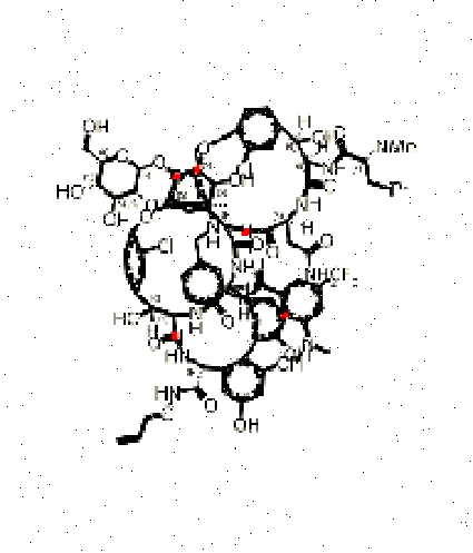 C=CCONC(=O)[C@@H]1NC(=O)[C@H]2NC(=O)[C@H](NC(=O)[C@@H]3NC(=O)[C@H](CC(N)=O)NC(=O)[C@H](NC(=O)[C@@H](CC(C)C)NC)[C@H](O)c4ccc(c(Cl)c4)Oc4cc3cc(c4O[C@@H]3O[C@H](CO)[C@@H](O)[C@H](O)[C@H]3O[C@H]3C[C@](C)(NCc4cccc(NC(=O)c5cc(N(C)C)cc(C(F)(F)F)c5)c4)[C@H](O)[C@H](C)O3)Oc3ccc(cc3Cl)[C@H]2O)c2ccc(O)c(c2)-c2c(O)cc(O)cc21